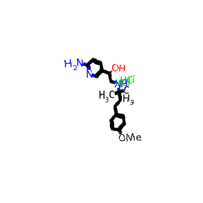 COc1ccc(CCC(C)(C)NC[C@H](O)c2ccc(N)nc2)cc1.Cl.Cl